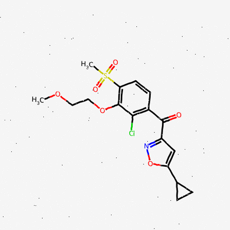 COCCOc1c(S(C)(=O)=O)ccc(C(=O)c2cc(C3CC3)on2)c1Cl